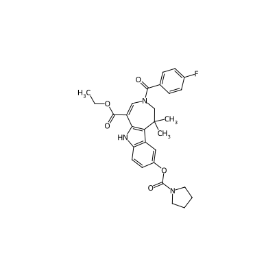 CCOC(=O)C1=CN(C(=O)c2ccc(F)cc2)CC(C)(C)c2c1[nH]c1ccc(OC(=O)N3CCCC3)cc21